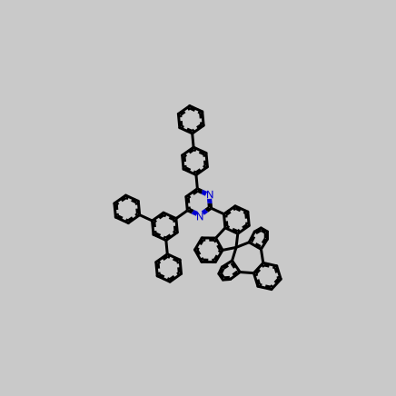 c1ccc(-c2ccc(-c3cc(-c4cc(-c5ccccc5)cc(-c5ccccc5)c4)nc(-c4cccc5c4-c4ccccc4C54c5ccccc5-c5ccccc5-c5ccccc54)n3)cc2)cc1